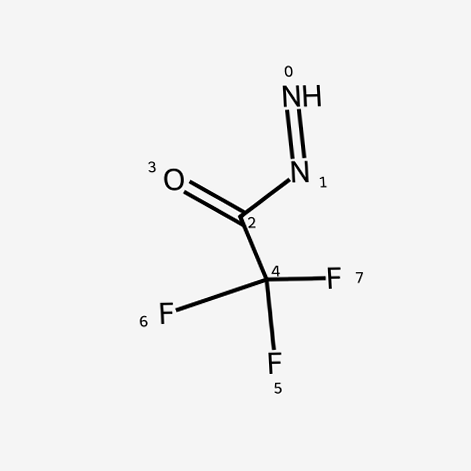 N=NC(=O)C(F)(F)F